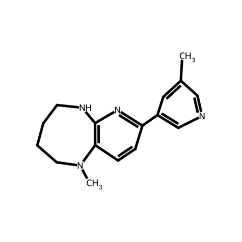 Cc1cncc(-c2ccc3c(n2)NCCCCN3C)c1